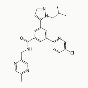 Cc1cnc(CNC(=O)c2cc(-c3ccc(Cl)cn3)cc(-c3ccnn3CC(C)C)c2)cn1